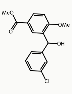 COC(=O)c1ccc(OC)c(C(O)c2cccc(Cl)c2)c1